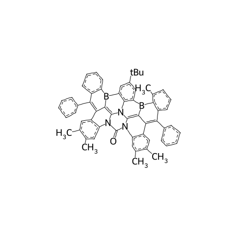 Cc1cc2c(cc1C)N1C(=O)N3C4=C5B(c6cc(C(C)(C)C)cc7c6N4C1=C1B7c4ccccc4C(c4ccccc4)=C12)c1c(C)cccc1C(c1ccccc1)=C5c1cc(C)c(C)cc13